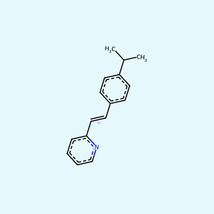 CC(C)c1ccc(/C=C/c2ccccn2)cc1